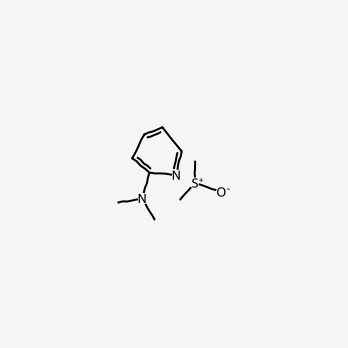 CN(C)c1ccccn1.C[S+](C)[O-]